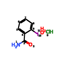 Cl.NC(=O)c1ccccc1I.O